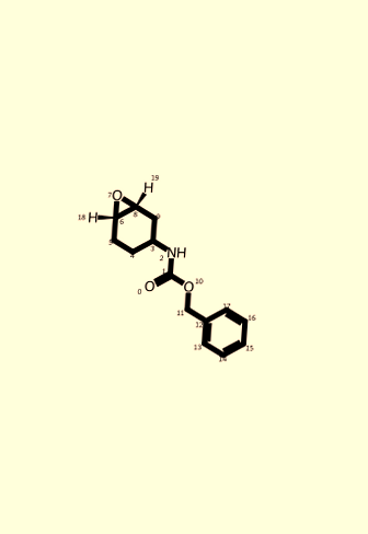 O=C(NC1CC[C@@H]2O[C@@H]2C1)OCc1ccccc1